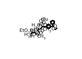 CCOC(=O)/C(C)=C/[C@H](C(C)C)N(C)C(=O)[C@@H](NC(=O)[C@@H](N(C)C(=O)OC(C)(C)C)C(C)(C)c1ccc(C2(c3ccccc3)OCCO2)cc1)C(C)(C)C